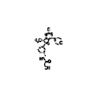 Cc1c(-c2cccc(CNC(=O)CO)c2)sc2c(N3CCOCC3)nc(Cl)nc12